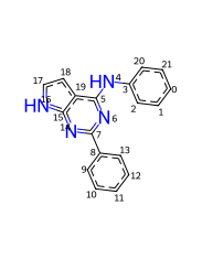 c1ccc(Nc2nc(-c3ccccc3)nc3[nH]ccc23)cc1